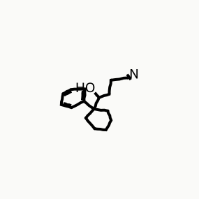 N#CCCC(O)C1(c2ccccc2)CCCCC1